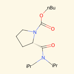 CCCCOC(=O)N1CCC[C@H]1C(=O)N(C(C)C)C(C)C